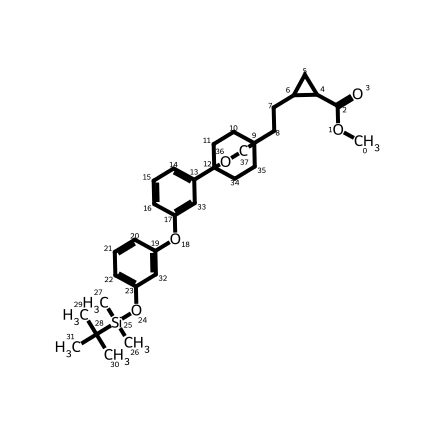 COC(=O)C1CC1CCC12CCC(c3cccc(Oc4cccc(O[Si](C)(C)C(C)(C)C)c4)c3)(CC1)OC2